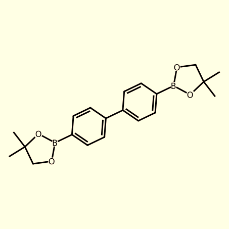 CC1(C)COB(c2ccc(-c3ccc(B4OCC(C)(C)O4)cc3)cc2)O1